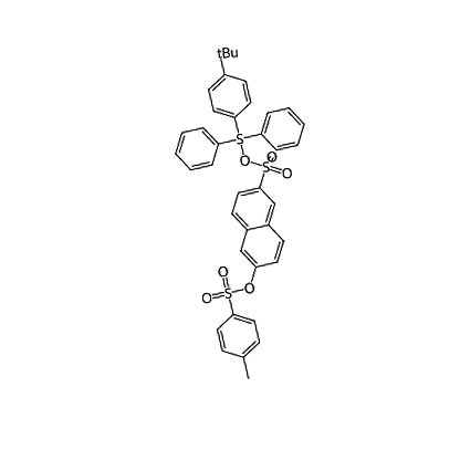 Cc1ccc(S(=O)(=O)Oc2ccc3cc(S(=O)(=O)OS(c4ccccc4)(c4ccccc4)c4ccc(C(C)(C)C)cc4)ccc3c2)cc1